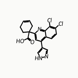 O=C(O)C1(c2cc(-c3cn[nH]c3)c3ccc(Cl)c(Cl)c3n2)CC=CCC1